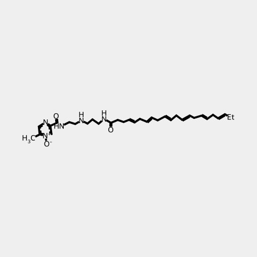 CCC=CCC=CCC=CCC=CCC=CCC=CCCC(=O)NCCCNCCNC(=O)c1c[n+]([O-])c(C)cn1